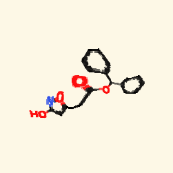 O=C(Cc1cc(O)no1)OC(c1ccccc1)c1ccccc1